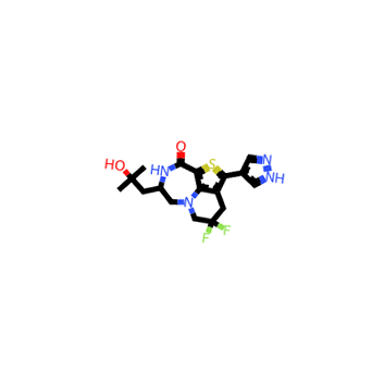 CC(C)(O)CC1CN2CC(F)(F)Cc3c(-c4cn[nH]c4)sc(c32)C(=O)N1